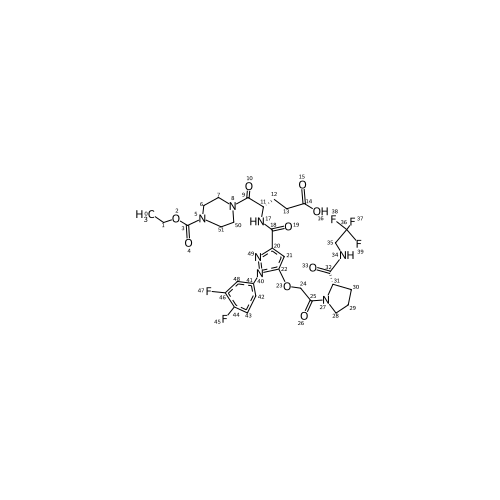 CCOC(=O)N1CCN(C(=O)[C@H](CCC(=O)O)NC(=O)c2cc(OCC(=O)N3CCC[C@H]3C(=O)NCC(F)(F)F)n(-c3ccc(F)c(F)c3)n2)CC1